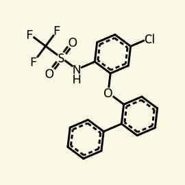 O=S(=O)(Nc1ccc(Cl)cc1Oc1ccccc1-c1ccccc1)C(F)(F)F